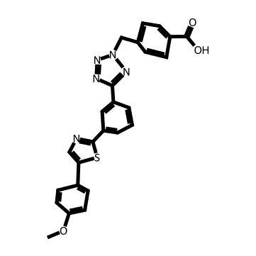 COc1ccc(-c2cnc(-c3cccc(-c4nnn(Cc5ccc(C(=O)O)cc5)n4)c3)s2)cc1